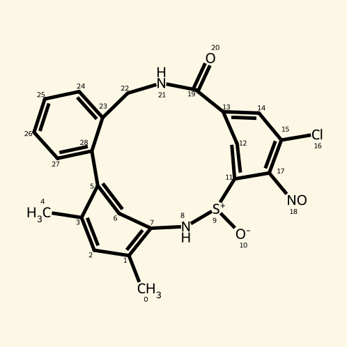 Cc1cc(C)c2cc1N[S+]([O-])c1cc(cc(Cl)c1N=O)C(=O)NCc1ccccc1-2